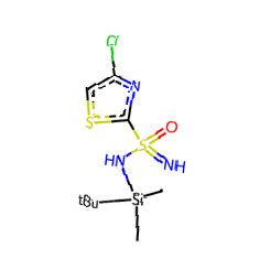 CC(C)(C)[Si](C)(C)NS(=N)(=O)c1nc(Cl)cs1